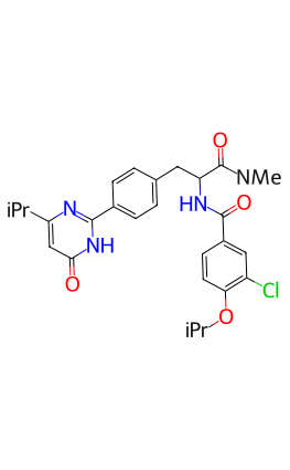 CNC(=O)C(Cc1ccc(-c2nc(C(C)C)cc(=O)[nH]2)cc1)NC(=O)c1ccc(OC(C)C)c(Cl)c1